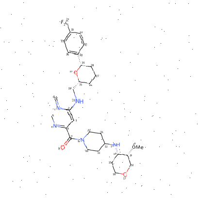 C=N/C(=C\C(=N/C)C(=O)N1CCC(N[C@H]2CCOC[C@H]2OC)CC1)NC[C@H]1CCC[C@@H](c2ccc(C(F)(F)F)cc2)O1